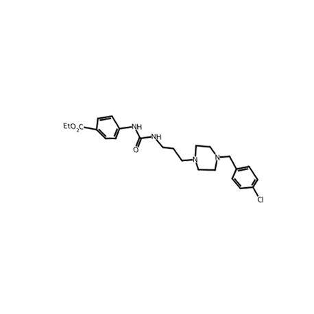 CCOC(=O)c1ccc(NC(=O)NCCCN2CCN(Cc3ccc(Cl)cc3)CC2)cc1